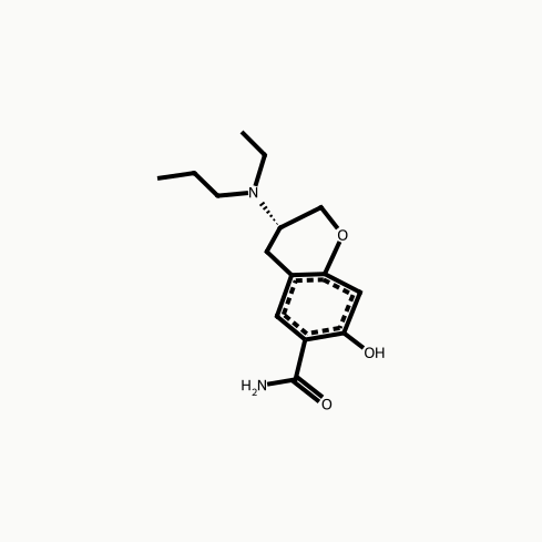 CCCN(CC)[C@@H]1COc2cc(O)c(C(N)=O)cc2C1